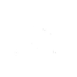 O=c1[nH]c2cccc(Br)c2cc1Br